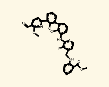 COC(=O)c1ccccc1NCc1ccnc(Nc2cccc(-c3cccc(-c4ccc(C=O)c(OC)n4)c3Cl)c2Cl)c1F